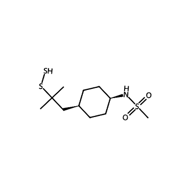 CC(C)(C[C@H]1CC[C@@H](NS(C)(=O)=O)CC1)SS